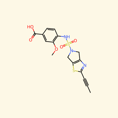 CC#Cc1nc2c(s1)CN(S(=O)(=O)Nc1ccc(C(=O)O)cc1OC)C2